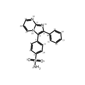 NS(=O)(=O)c1ccc(-c2c(-c3ccccc3)nc3ncccn23)cc1